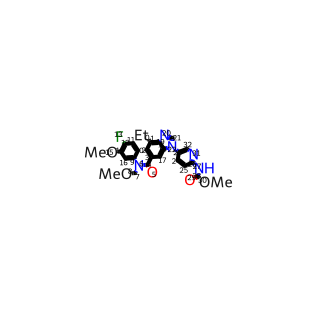 CCc1cc(C(=O)N(COC)c2ccc(F)c(OC)c2)cc2c1ncn2-c1ccc(NC(=O)OC)nc1